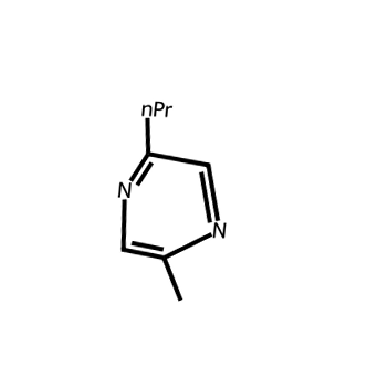 [CH2]CCc1cnc(C)cn1